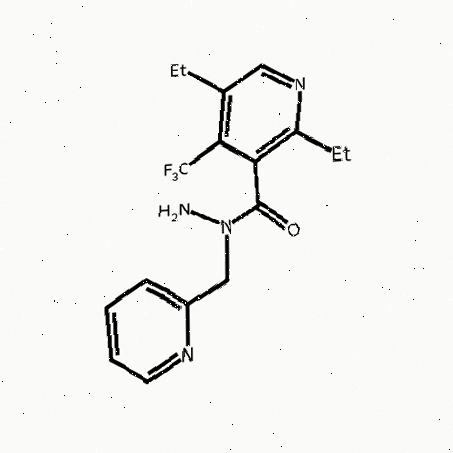 CCc1cnc(CC)c(C(=O)N(N)Cc2ccccn2)c1C(F)(F)F